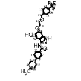 CN1CCN(c2ccc(C(=O)Nc3n[nH]c4cc(OCCOCc5ccc(C(F)(F)F)cc5)ccc34)cc2)CC1.Cl